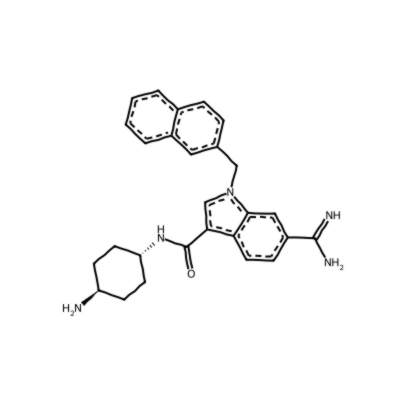 N=C(N)c1ccc2c(C(=O)N[C@H]3CC[C@H](N)CC3)cn(Cc3ccc4ccccc4c3)c2c1